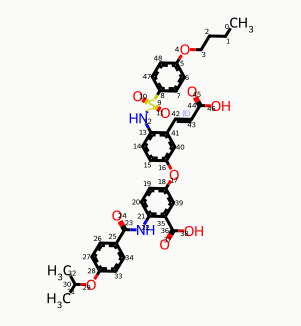 CCCCOc1ccc(S(=O)(=O)Nc2ccc(Oc3ccc(NC(=O)c4ccc(OC(C)C)cc4)c(C(=O)O)c3)cc2/C=C/C(=O)O)cc1